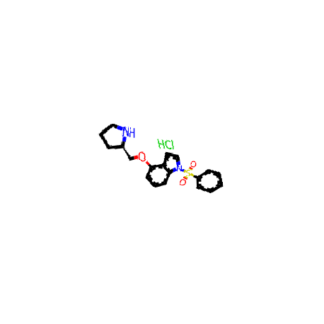 Cl.O=S(=O)(c1ccccc1)n1ccc2c(OC[C@H]3CCCN3)cccc21